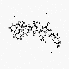 COc1cc(-c2cc(C(F)(F)F)cc3c2n(C)c(=O)n3CC(=O)Nc2ccc(F)cc2)c(C)cc1OCc1nncn1C(c1ccccc1)(c1ccccc1)c1ccccc1